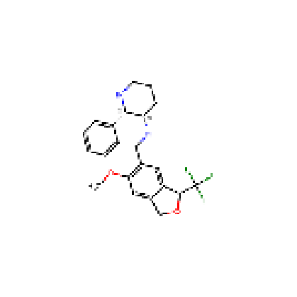 COc1cc2c(cc1CN[C@H]1CCCN[C@H]1c1ccccc1)C(C(F)(F)F)OC2